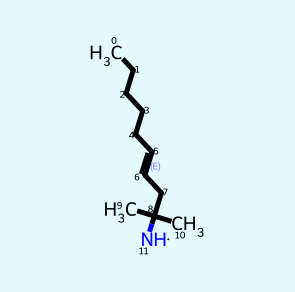 CCCCC/C=C/CC(C)(C)[NH]